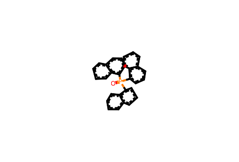 O=P(c1cccc2ccccc12)(c1cccc2ccccc12)c1cccc2ccccc12